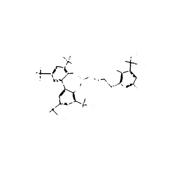 Cc1cc(CCCOp2oc3c(C(C)(C)C)cc(C(C)(C)C)cc3c3cc(C(C)(C)C)cc(C(C)(C)C)c3o2)c(O)c(C(C)(C)C)c1